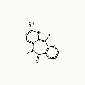 CCC1=C2NC(O)=CC=C2N(C)C(=O)c2cccnc21